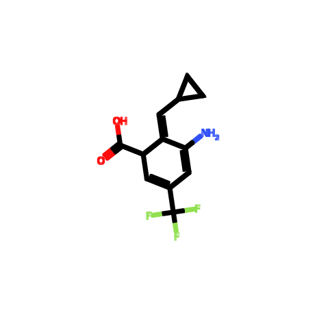 NC1=CC(C(F)(F)F)=CC(C(=O)O)C1=CC1CC1